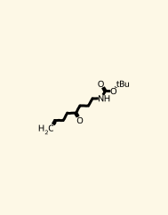 C=CCCC(=O)CCCNC(=O)OC(C)(C)C